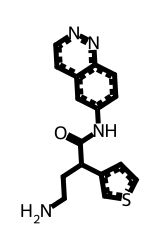 NCCC(C(=O)Nc1ccc2nnccc2c1)c1ccsc1